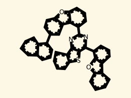 c1ccc2c(-c3ccc4oc5cccc(-c6nc(-c7cccc8c7oc7ccccc78)c7sc8ccccc8c7n6)c5c4c3)cccc2c1